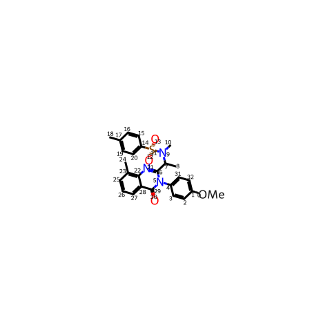 COc1ccc(-n2c(C(C)N(C)S(=O)(=O)c3ccc(C)cc3)nc3c(C)cccc3c2=O)cc1